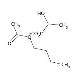 CCCCOC(C)=O.CCOC(=O)C(C)O